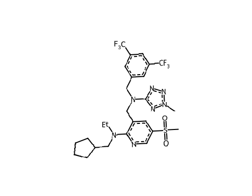 CCN(CC1CCCC1)c1ncc(S(C)(=O)=O)cc1CN(Cc1cc(C(F)(F)F)cc(C(F)(F)F)c1)c1nnn(C)n1